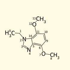 CCn1cnc2c(OC)ccc(OC)c21